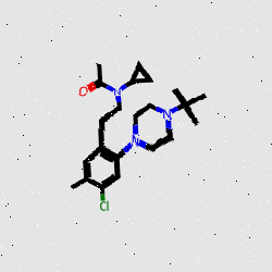 CC(=O)N(CCc1cc(C)c(Cl)cc1N1CCN(C(C)(C)C)CC1)C1CC1